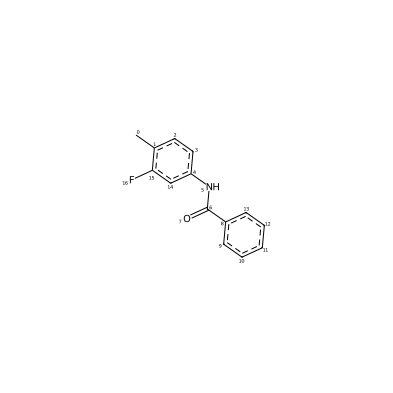 Cc1ccc(NC(=O)c2ccccc2)cc1F